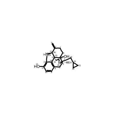 C=C1CCC2(O)[C@H]3Cc4ccc(O)c5c4[C@@]2(CCN3CC2CC2)[C@@H]1O5